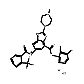 Cc1c(Cl)cccc1NC(=O)c1cc(NC(=O)c2ccccc2C(F)(F)F)cc2[nH]c(N3CCN(C)CC3)nc12.Cl.Cl